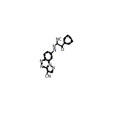 [C-]#[N+]C(/N=N/c1ccc2nnc3c(C#N)cnn3c2c1)C(=O)c1ccccc1